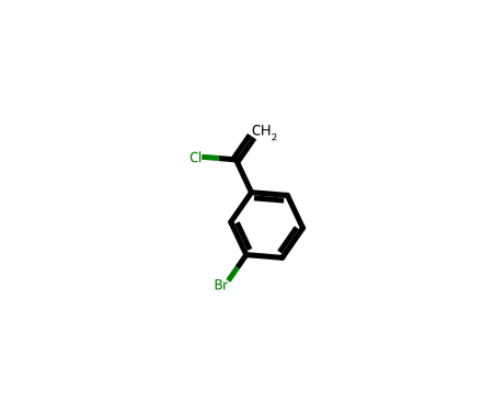 C=C(Cl)c1cccc(Br)c1